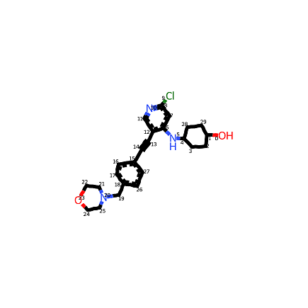 OC1CCC(Nc2cc(Cl)ncc2C#Cc2ccc(CN3CCOCC3)cc2)CC1